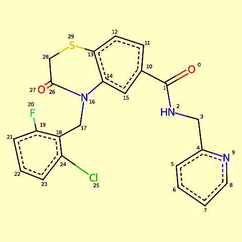 O=C(NCc1ccccn1)c1ccc2c(c1)N(Cc1c(F)cccc1Cl)C(=O)CS2